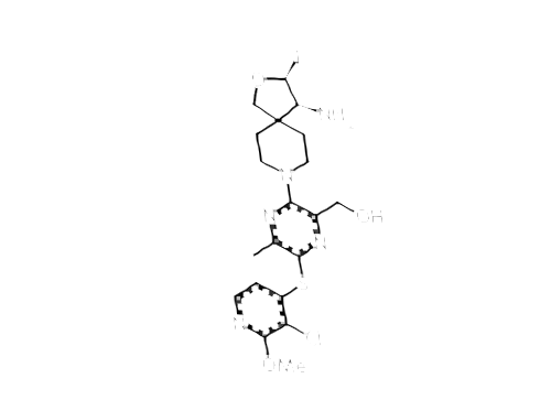 COc1nccc(Sc2nc(CO)c(N3CCC4(CC3)CO[C@@H](I)[C@H]4N)nc2C)c1Cl